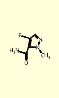 Cn1ncc(F)c1C(N)=O